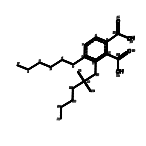 CCCCCCc1ccc(C(=O)O)c(C(=O)O)c1CC(C)(C)CCCC